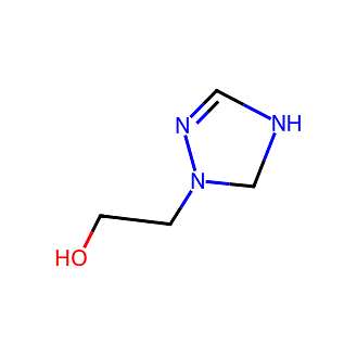 OCCN1CNC=N1